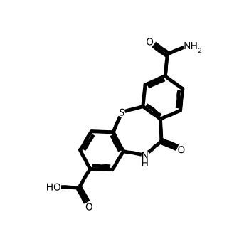 NC(=O)c1ccc2c(c1)Sc1ccc(C(=O)O)cc1NC2=O